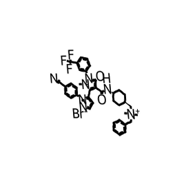 Cn1c(-c2ccnn2-c2ccc(C#N)cc2)c(C(=O)N[C@H]2CC[C@H](C[N+](C)(C)Cc3ccccc3)CC2)c(=O)n1-c1cccc(C(F)(F)F)c1.[Br-]